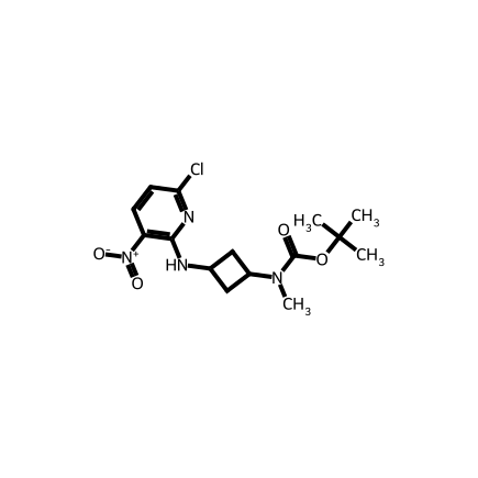 CN(C(=O)OC(C)(C)C)C1CC(Nc2nc(Cl)ccc2[N+](=O)[O-])C1